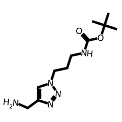 CC(C)(C)OC(=O)NCCCn1cc(CN)nn1